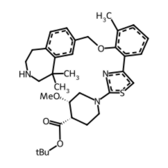 CO[C@@H]1CN(c2nc(-c3cccc(C)c3OCc3ccc4c(c3)C(C)(C)CNCC4)cs2)CC[C@@H]1C(=O)OC(C)(C)C